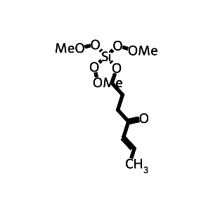 CC=CC(=O)CCCO[Si](OOC)(OOC)OOC